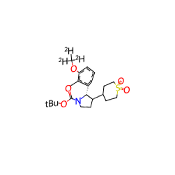 [2H]C([2H])([2H])Oc1cccc([C@@H]2C(C3CCS(=O)(=O)CC3)CCN2C(=O)OC(C)(C)C)c1C